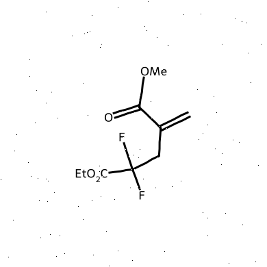 C=C(CC(F)(F)C(=O)OCC)C(=O)OC